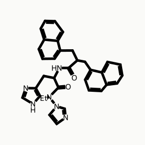 CCN(C(=O)C(Cc1c[nH]cn1)NC(=O)C(Cc1cccc2ccccc12)Cc1cccc2ccccc12)n1ccnc1